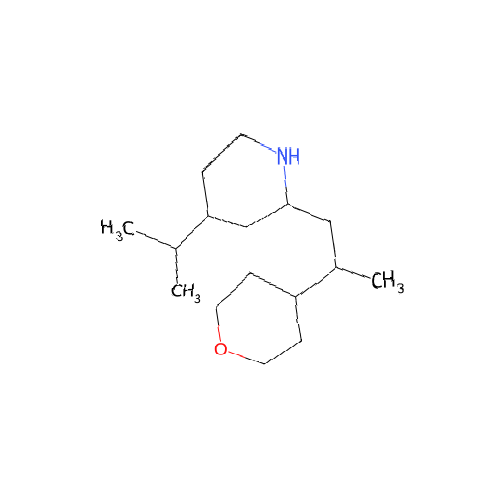 CC(C)C1CCNC(CC(C)C2CCOCC2)C1